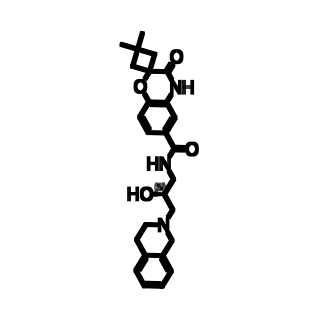 CC1(C)CC2(C1)Oc1ccc(C(=O)NC[C@H](O)CN3CCc4ccccc4C3)cc1NC2=O